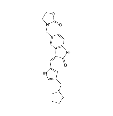 O=C1Nc2ccc(CN3CCOC3=O)cc2/C1=C/c1cc(CN2CCCC2)c[nH]1